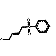 CC(C)CC=CCS(=O)(=O)c1cc[c]cc1